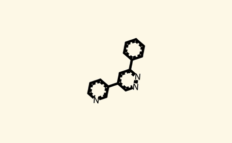 c1ccc(-c2cc(-c3cccnc3)cnn2)cc1